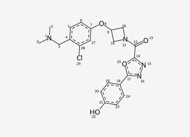 CN(C)Cc1ccc(OC2CN(C(=O)c3nnc(-c4ccc(O)cc4)o3)C2)cc1Cl